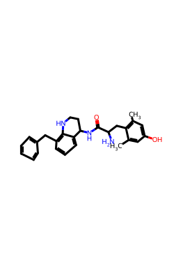 Cc1cc(O)cc(C)c1CC(N)C(=O)NC1CCNc2c(Cc3ccccc3)cccc21